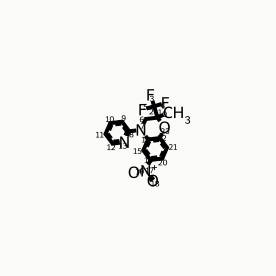 CC1(C(F)(F)F)CN(c2ccccn2)c2cc([N+](=O)[O-])ccc2O1